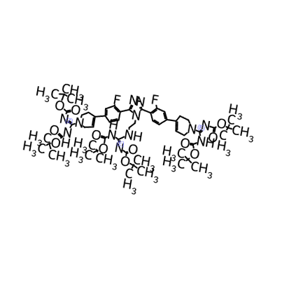 CC(C)(C)OC(=O)/N=C(/NC(=O)OC(C)(C)C)N1CC=C(c2ccc(-c3nnc(-c4ccc(C5=CCN(/C(=N/C(=O)OC(C)(C)C)NC(=O)OC(C)(C)C)CC5)cc4F)n3CCN/C(=N\C(=O)OC(C)(C)C)NC(=O)OC(C)(C)C)c(F)c2)CC1